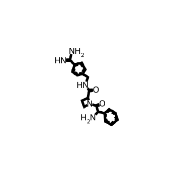 N=C(N)c1ccc(CNC(=O)C2CCN2C(=O)C(N)c2ccccc2)cc1